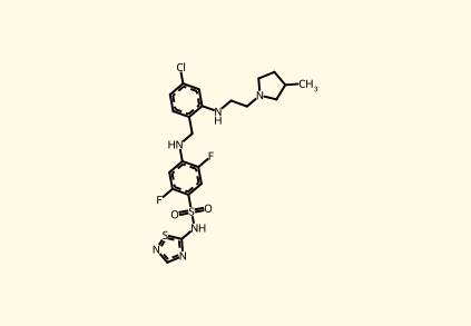 CC1CCN(CCNc2cc(Cl)ccc2CNc2cc(F)c(S(=O)(=O)Nc3ncns3)cc2F)C1